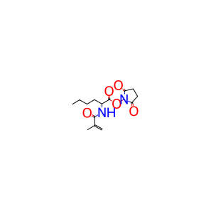 C=C(C)C(=O)NC(CCCC)C(=O)ON1C(=O)CCC1=O